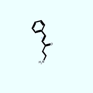 NCCC(=O)/C=C/c1ccccc1